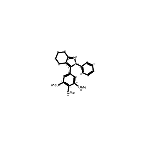 COc1cc(-c2c3c(nn2-c2ccccc2)CCCC3)cc(OC)c1OC